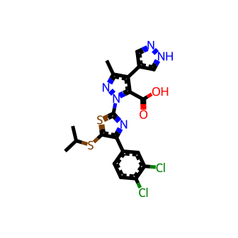 Cc1nn(-c2nc(-c3ccc(Cl)c(Cl)c3)c(SC(C)C)s2)c(C(=O)O)c1-c1cn[nH]c1